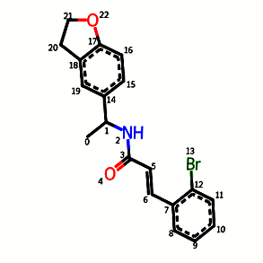 CC(NC(=O)C=Cc1ccccc1Br)c1ccc2c(c1)CCO2